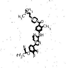 Cc1cc(NC2=NC=CN3C2=NCC3c2ccc(OC(C)C#N)c(F)c2F)ccc1C(=O)N1CCN(CCN(C)C)CC1